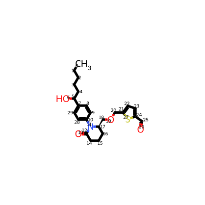 CCCCCC(O)c1ccc(N2C(=O)CCC[C@@H]2COCc2ccc(C=O)s2)cc1